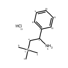 C[Si](C)(C)CC(N)c1ccccc1.Cl